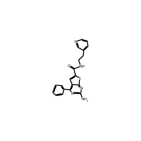 Nc1nc(-c2ccccc2)c2cc(C(=O)NCCc3cccnc3)sc2n1